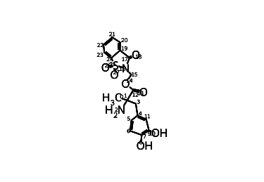 CC(N)(Cc1ccc(O)c(O)c1)C(=O)OCN1C(=O)c2ccccc2S1(=O)=O